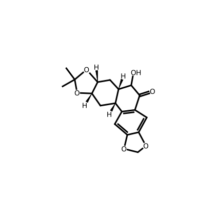 CC1(C)O[C@H]2C[C@H]3c4cc5c(cc4C(=O)C(O)[C@H]3C[C@H]2O1)OCO5